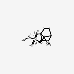 CC12CCC(CC1=O)C2(C)CS(=O)(=O)O[N]